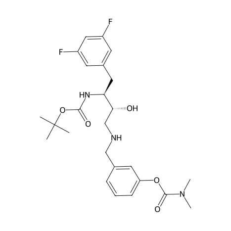 CN(C)C(=O)Oc1cccc(CNC[C@@H](O)[C@H](Cc2cc(F)cc(F)c2)NC(=O)OC(C)(C)C)c1